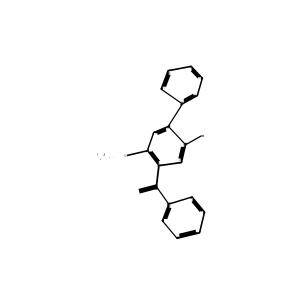 COc1cc(-c2ccccc2)c(F)cc1C(=S)c1ccccc1